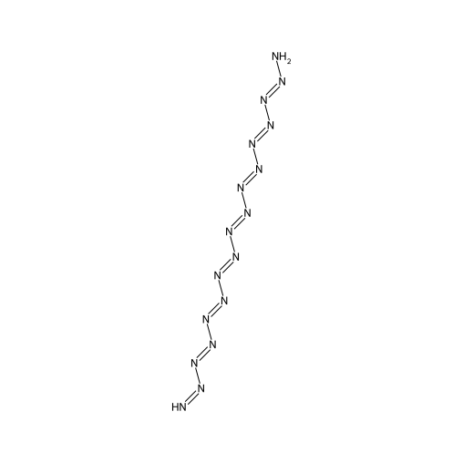 N=N/N=N/N=N/N=N/N=N/N=N/N=N/N=N/N